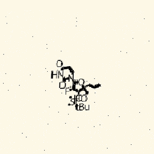 C=CC[C@]1(CO)O[C@@H](n2ccc(=O)[nH]c2=O)[C@H](F)C1O[Si](C)(C)C(C)(C)C